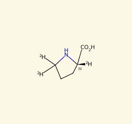 [2H]C1([2H])CC[C@@]([2H])(C(=O)O)N1